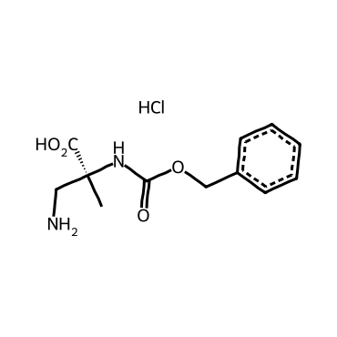 C[C@@](CN)(NC(=O)OCc1ccccc1)C(=O)O.Cl